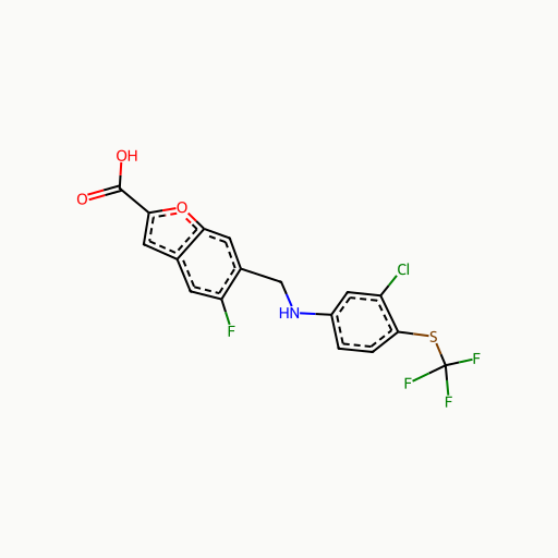 O=C(O)c1cc2cc(F)c(CNc3ccc(SC(F)(F)F)c(Cl)c3)cc2o1